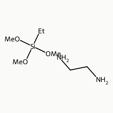 CC[Si](OC)(OC)OC.NCCN